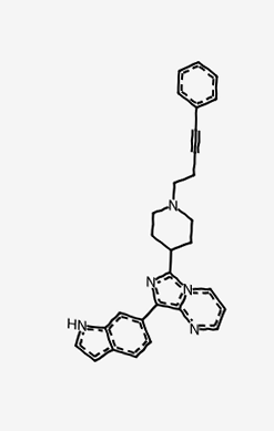 C(#Cc1ccccc1)CCN1CCC(c2nc(-c3ccc4cc[nH]c4c3)c3ncccn23)CC1